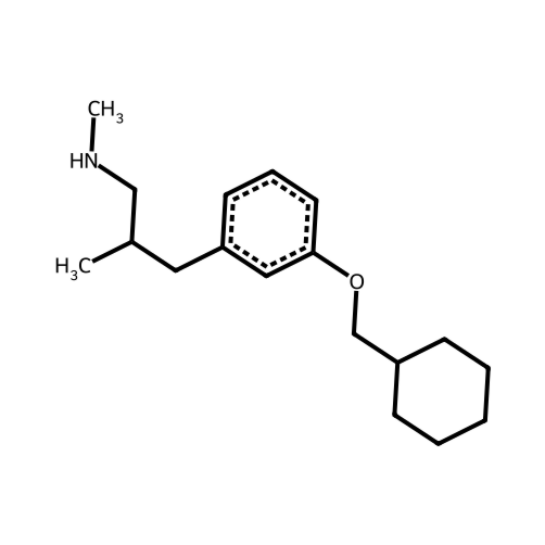 CNCC(C)Cc1cccc(OCC2CCCCC2)c1